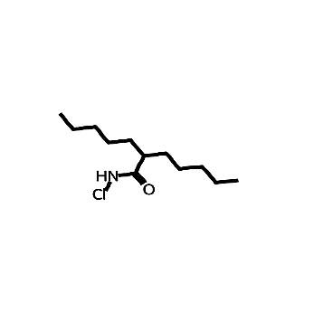 CCCCCC(CCCCC)C(=O)NCl